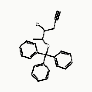 C#CCC(CC)C(C)OC(c1ccccc1)(c1ccccc1)c1ccccc1